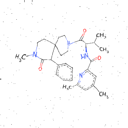 Cc1cc(C)nc(C(=O)N[C@@H](C(=O)N2CCC3(CCN(C)C(=O)C3c3ccccc3)CC2)C(C)C)c1